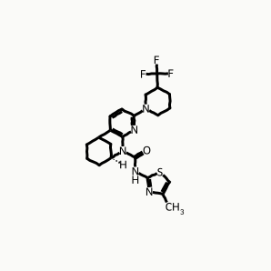 Cc1csc(NC(=O)N2c3nc(N4CCCC(C(F)(F)F)C4)ccc3C3CCC[C@H]2C3)n1